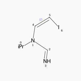 CC(C)N(C=N)/C=C\I